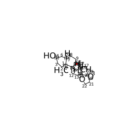 C[C@]12CC[C@H](O)C[C@@H]1CC[C@@H]1[C@@H]2CC[C@@]2(C)[C@H]1CCC21OCCO1